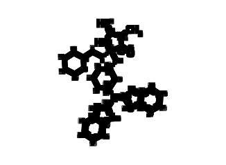 CN1C(=N)N[C@](CCC2CCCCC2)(C[C@H]2CCC[C@@H](N(c3nc4ccccc4s3)c3nc4ccccc4s3)C2)C1=O